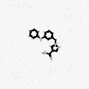 O=C(O)c1cnn(Cc2cccc(Oc3ccccc3)c2)c1